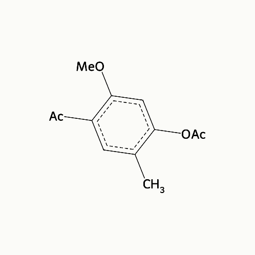 COc1cc(OC(C)=O)c(C)cc1C(C)=O